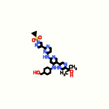 CC(C)(O)c1cnc(-c2cnc(Nc3ccnc(-c4cnn(S(=O)(=O)C5CC5)c4)n3)cc2NC2CCC(CO)CC2)cn1